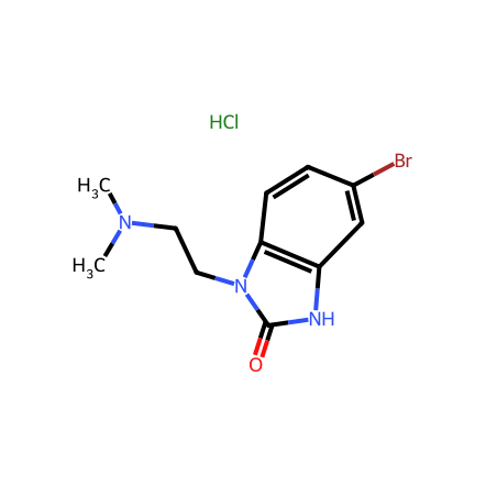 CN(C)CCn1c(=O)[nH]c2cc(Br)ccc21.Cl